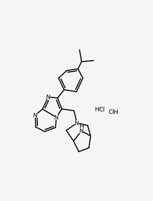 CC(C)c1ccc(-c2nc3ncccn3c2CN2CC3CCC(C2)N3)cc1.Cl.Cl